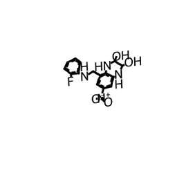 O=[N+]([O-])c1cc(CNc2ccccc2F)c2c(c1)NC(O)C(O)N2